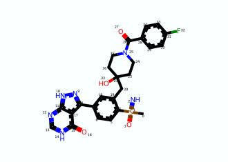 CS(=N)(=O)c1ccc(-c2n[nH]c3nc[nH]c(=O)c23)cc1CC1(O)CCN(C(=O)c2ccc(F)cc2)CC1